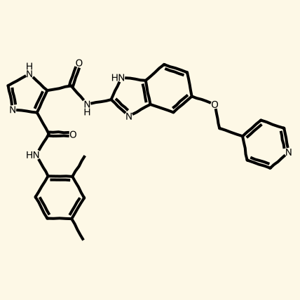 Cc1ccc(NC(=O)c2nc[nH]c2C(=O)Nc2nc3cc(OCc4ccncc4)ccc3[nH]2)c(C)c1